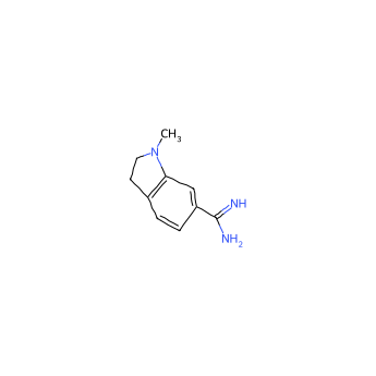 CN1CCc2ccc(C(=N)N)cc21